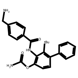 CC(C)(C)c1c(-c2ccccc2)ccc(OC(N)=O)c1NC(=O)c1ccc(CN)cc1